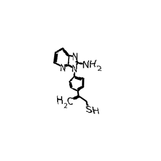 C=C(CS)c1ccc(-n2c(N)nc3cccnc32)cc1